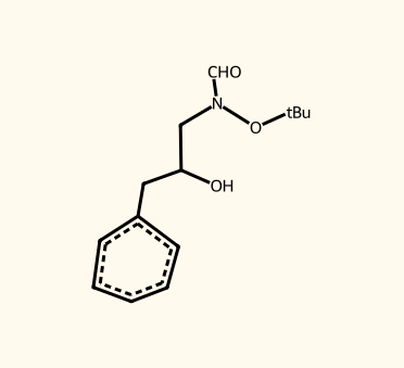 CC(C)(C)ON(C=O)CC(O)Cc1ccccc1